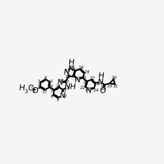 COc1cccc(-c2ccnc3[nH]c(-c4n[nH]c5ccc(-c6cncc(NC(=O)C7CC7)c6)nc45)nc23)c1